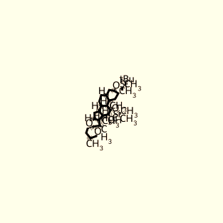 C[C@@H]1CC[C@@]2(OC1)O[C@H]1C[C@H]3[C@@H]4CC[C@H]5C[C@@H](O[Si](C)(C)C(C)(C)C)CC[C@]5(C)[C@H]4[C@@H](O[Si](C)(C)C)[C@@H](O)[C@]3(C)[C@H]1[C@@H]2C